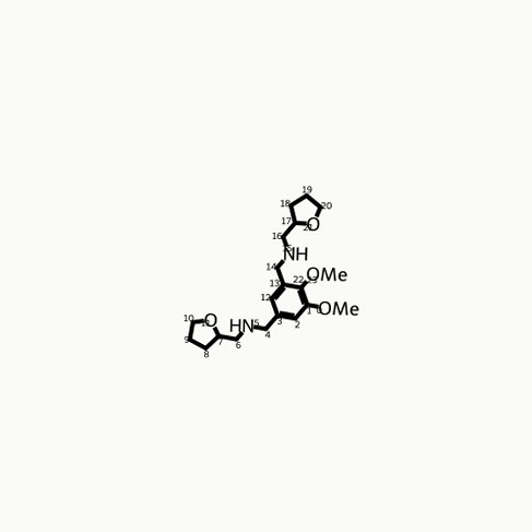 COc1cc(CNCC2CCCO2)cc(CNCC2CCCO2)c1OC